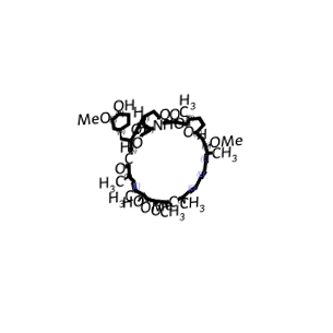 CO[C@H]1C[C@@H]2CC[C@@H](C)[C@@](O)(O2)C(=O)C(=O)N2CC[C@H]3C[C@H]2C(=O)O[C@@H](CC(=O)[C@H](C)/C=C(\C)[C@H](O)[C@@H](OC)C(=O)[C@H](C)C[C@H](C)/C=C/C=C/C=C/1C)C3C[C@@H]1CC[C@@H](O)[C@H](OC)C1